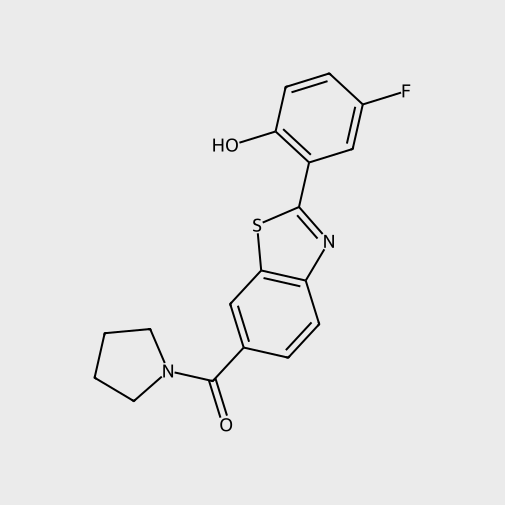 O=C(c1ccc2nc(-c3cc(F)ccc3O)sc2c1)N1CCCC1